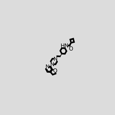 O=C(N[C@H]1CC[C@H](CCN2CCN(c3nccc4c3OCC4)CC2)CC1)C1CCC1